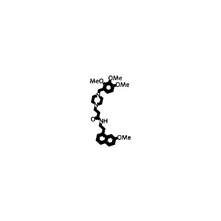 COc1ccc2cccc(CCNC(=O)CCN3CCN(Cc4ccc(OC)c(OC)c4OC)CC3)c2c1